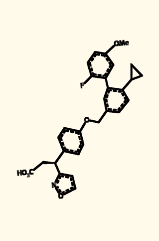 COc1ccc(F)c(-c2cc(COc3ccc([C@H](CC(=O)O)c4ccon4)cc3)ccc2C2CC2)c1